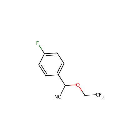 N#CC(OCC(F)(F)F)c1ccc(F)cc1